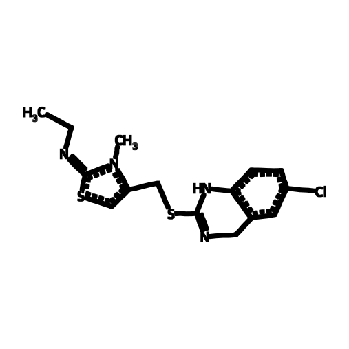 CC/N=c1/scc(CSC2=NCc3cc(Cl)ccc3N2)n1C